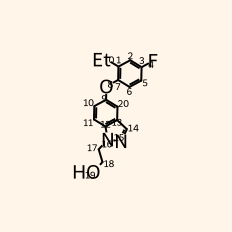 CCc1cc(F)ccc1Oc1ccc2c(cnn2CCO)c1